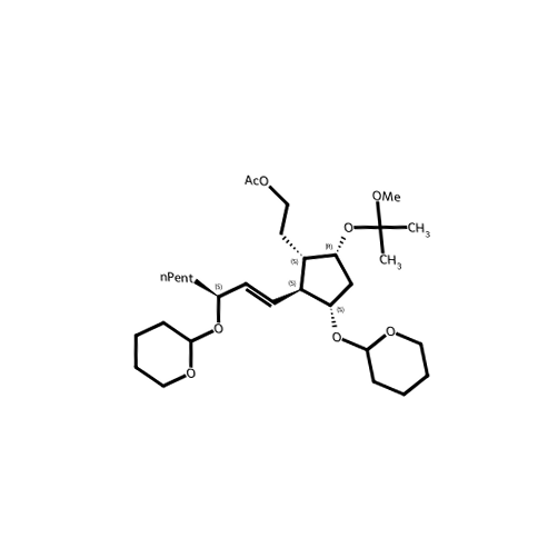 CCCCC[C@@H](C=C[C@H]1[C@H](CCOC(C)=O)[C@H](OC(C)(C)OC)C[C@@H]1OC1CCCCO1)OC1CCCCO1